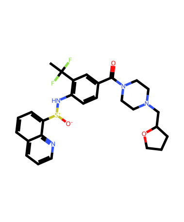 CC(F)(F)c1cc(C(=O)N2CCN(CC3CCCO3)CC2)ccc1N[S+]([O-])c1cccc2cccnc12